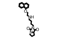 O=C1C2CCCN2C(=O)N1CCCCNCCOc1cccc2ccccc12